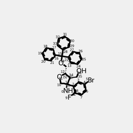 N[C@@]1(c2cc(Br)ccc2F)CO[C@H](COC(c2ccccc2)(c2ccccc2)c2ccccc2)[C@H]1CO